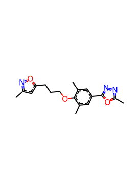 Cc1cc(CCCOc2c(C)cc(-c3nnc(C)o3)cc2C)on1